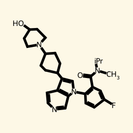 CC(C)N(C)C(=O)c1cc(F)ccc1-n1cc(C2CCC(N3CCC(O)CC3)CC2)c2ccncc21